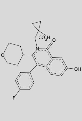 O=C(O)C1(Cn2c(C3CCOCC3)c(-c3ccc(F)cc3)c3ccc(O)cc3c2=O)CC1